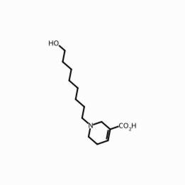 O=C(O)C1=CCCN(CCCCCCCCO)C1